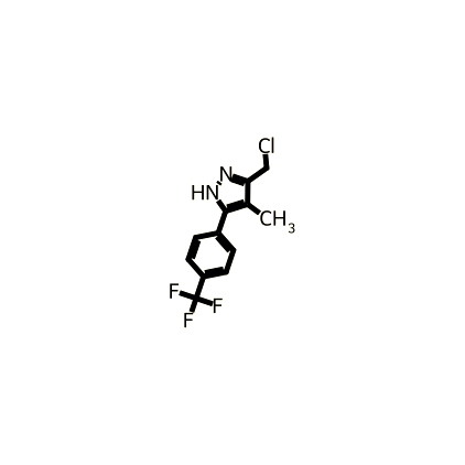 Cc1c(CCl)n[nH]c1-c1ccc(C(F)(F)F)cc1